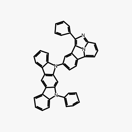 c1ccc(-c2nc3cccc4c5ccc(-n6c7ccccc7c7cc8c9ccccc9n(-c9ccccc9)c8cc76)cc5c2n34)cc1